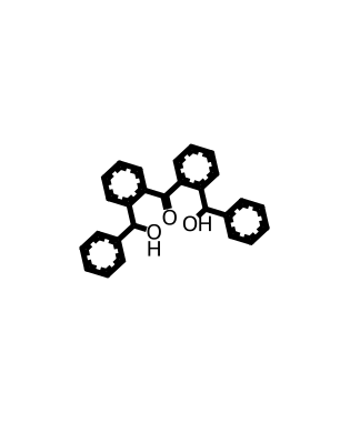 O=C(c1ccccc1C(O)c1ccccc1)c1ccccc1C(O)c1ccccc1